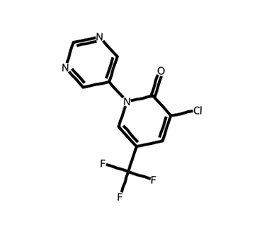 O=c1c(Cl)cc(C(F)(F)F)cn1-c1cncnc1